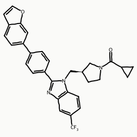 O=C(C1CC1)N1CC[C@@H](Cn2c(-c3ccc(-c4ccc5ccoc5c4)cc3)nc3cc(C(F)(F)F)ccc32)C1